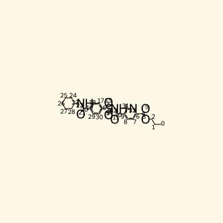 CCCOC(=O)c1ccc(C(=O)NS(=O)(=O)c2ccc(C(=O)NC3CCCCC3)cc2)cn1